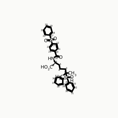 CC(C)(CCC[C@H](NC(=O)c1ccc(S(=O)(=O)c2ccccc2)cc1)C(=O)O)[Si](O)(c1ccccc1)c1ccccc1